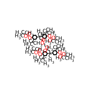 CC(C)(C)OC(=O)Oc1ccc(C(C)(CC(=O)OCCOC(=O)CC(C)(c2ccc(OC(=O)OC(C)(C)C)c(C(C)(C)C)c2)c2ccc(OC(=O)OC(C)(C)C)c(C(C)(C)C)c2)c2ccc(OC(=O)OC(C)(C)C)c(C(C)(C)C)c2)cc1C(C)(C)C